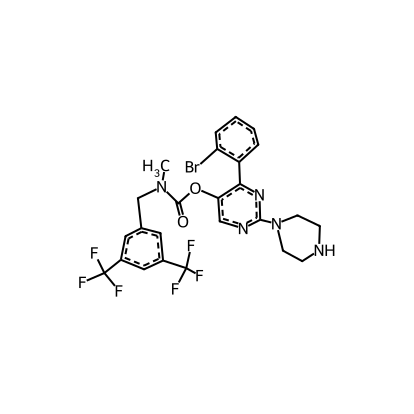 CN(Cc1cc(C(F)(F)F)cc(C(F)(F)F)c1)C(=O)Oc1cnc(N2CCNCC2)nc1-c1ccccc1Br